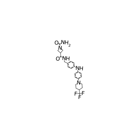 NC(=O)N1CC(C(=O)NCc2ccc(Nc3ccc(N4CCC(C(F)(F)F)CC4)cc3)cc2)C1